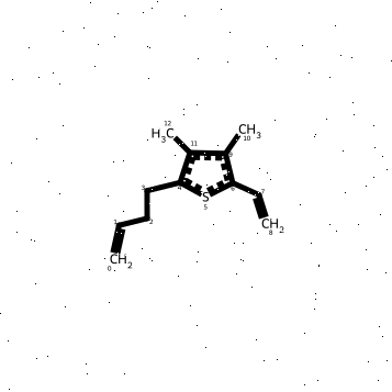 C=CCCc1sc(C=C)c(C)c1C